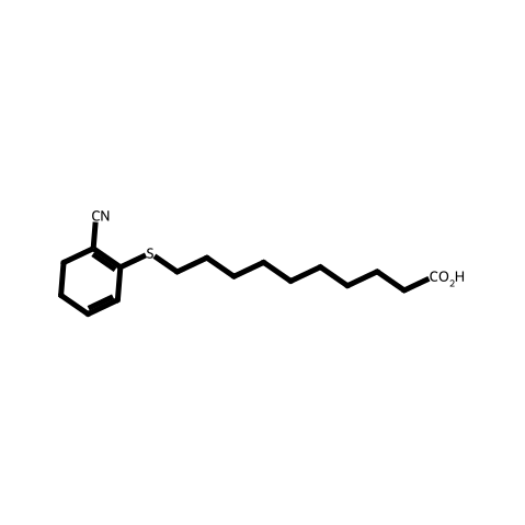 N#CC1=C(SCCCCCCCCCC(=O)O)C=CCC1